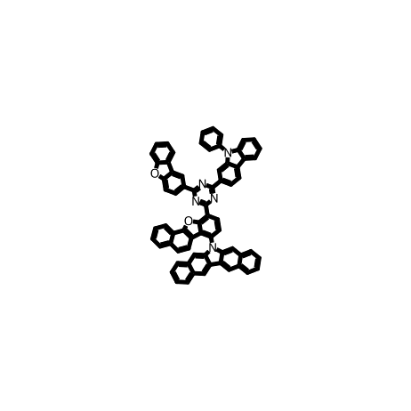 c1ccc(-n2c3ccccc3c3ccc(-c4nc(-c5ccc6oc7ccccc7c6c5)nc(-c5ccc(-n6c7cc8ccccc8cc7c7cc8ccccc8cc76)c6c5oc5c7ccccc7ccc56)n4)cc32)cc1